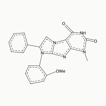 COc1ccccc1-n1c(-c2ccccc2)cn2c3c(=O)[nH]c(=O)n(C)c3nc12